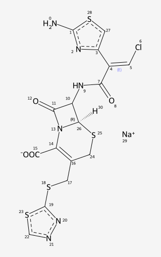 Nc1nc(/C(=C\Cl)C(=O)NC2C(=O)N3C(C(=O)[O-])=C(CSc4nncs4)CS[C@H]23)cs1.[Na+]